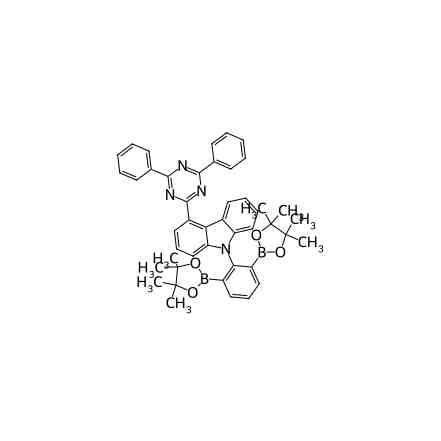 CC1(C)OB(c2cccc(B3OC(C)(C)C(C)(C)O3)c2-n2c3ccccc3c3c(-c4nc(-c5ccccc5)nc(-c5ccccc5)n4)cccc32)OC1(C)C